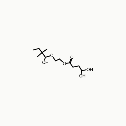 CCC(C)(C)C(O)OCCOC(=O)CCC(O)O